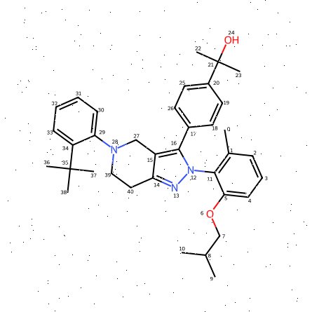 Cc1cccc(OCC(C)C)c1-n1nc2c(c1-c1ccc(C(C)(C)O)cc1)CN(c1ccccc1C(C)(C)C)CC2